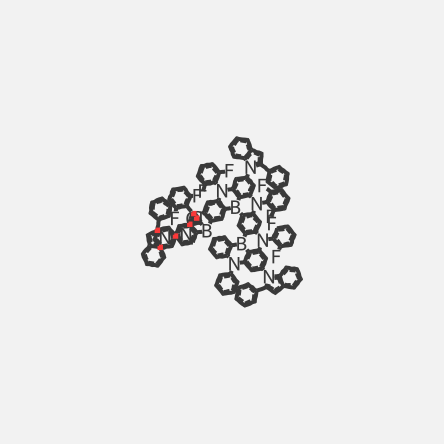 Fc1cccc(F)c1N1c2cc3c(cc2B2c4ccccc4N(c4ccccc4)c4cc(-n5c(-c6ccccc6)cc6ccccc65)cc1c42)B1c2cc4c(cc2N(c2c(F)cccc2F)c2cc(-n5c(-c6ccccc6)cc6ccccc65)cc(c21)N3c1c(F)cccc1F)N(c1c(F)cccc1F)c1cc(-n2c(-c3ccccc3)cc3ccccc32)cc2c1B4c1ccccc1N2c1ccccc1